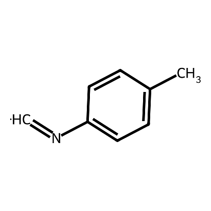 [CH]=Nc1ccc(C)cc1